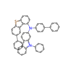 c1ccc(-c2ccc(N(c3ccc4c5ccccc5n(-c5ccccc5)c4c3)c3cccc4sc5ccc(-c6ccccc6)cc5c34)cc2)cc1